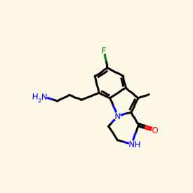 Cc1c2n(c3c(CCCN)cc(F)cc13)CCNC2=O